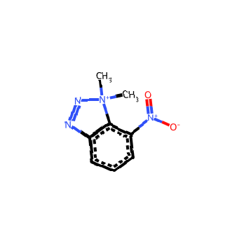 C[N+]1(C)N=Nc2cccc([N+](=O)[O-])c21